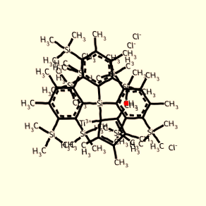 CC1=C(C)[C]([Ti+3])([Si](c2c([Si](C)(C)C)c(C)c(C)c([Si](C)(C)C)c2[Si](C)(C)C)(c2c([Si](C)(C)C)c(C)c(C)c([Si](C)(C)C)c2[Si](C)(C)C)c2c([Si](C)(C)C)c(C)c(C)c([Si](C)(C)C)c2[Si](C)(C)C)C(C)=C1C.[Cl-].[Cl-].[Cl-]